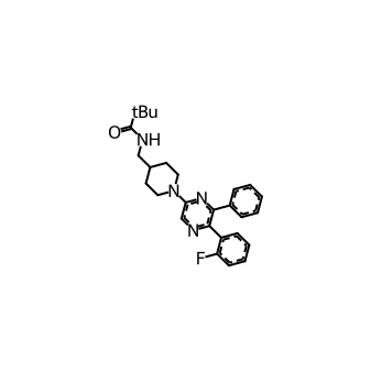 CC(C)(C)C(=O)NCC1CCN(c2cnc(-c3ccccc3F)c(-c3ccccc3)n2)CC1